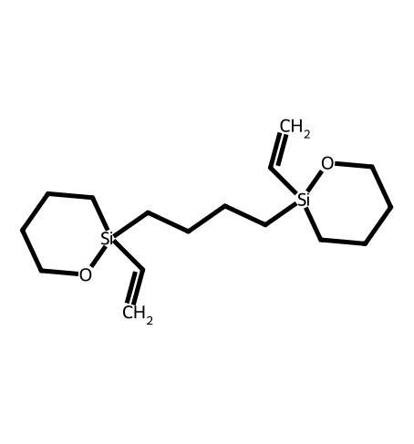 C=C[Si]1(CCCC[Si]2(C=C)CCCCO2)CCCCO1